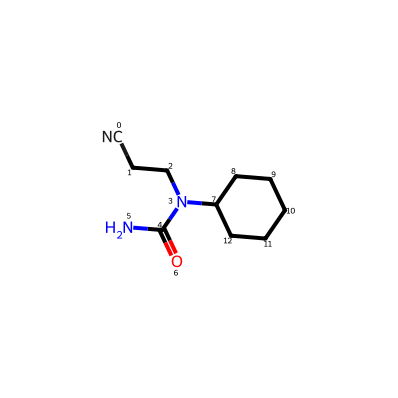 N#CCCN(C(N)=O)C1CCCCC1